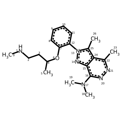 CNCCC(C)Oc1ccccc1-n1nc2c(N(C)C)nnc(C)c2c1C